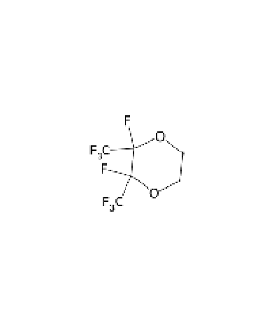 FC(F)(F)C1(F)OCCOC1(F)C(F)(F)F